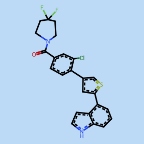 O=C(c1ccc(-c2csc(-c3cccc4[nH]ccc34)c2)c(Cl)c1)N1CCC(F)(F)CC1